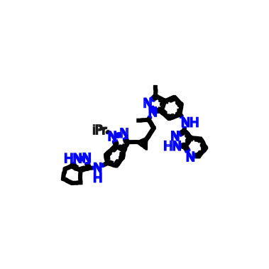 Cc1nn(C(C)CC2CC2c2nn(C(C)C)c3cc(Nc4n[nH]c5c4CCCC5)ccc23)c2cc(Nc3n[nH]c4ncccc34)ccc12